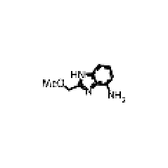 COCc1nc2c(N)cccc2[nH]1